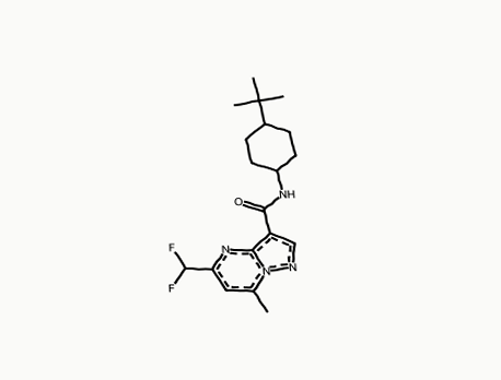 Cc1cc(C(F)F)nc2c(C(=O)NC3CCC(C(C)(C)C)CC3)cnn12